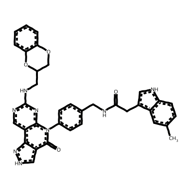 Cc1ccc2[nH]cc(CC(=O)NCc3ccc(-n4c(=O)c5c[nH]nc5c5cnc(NCC6COc7ccccc7O6)nc54)cc3)c2c1